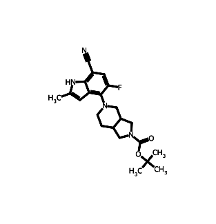 Cc1cc2c(N3CCC4CN(C(=O)OC(C)(C)C)CC4C3)c(F)cc(C#N)c2[nH]1